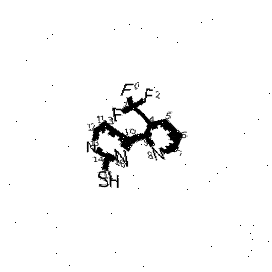 FC(F)(F)c1cccnc1-c1ccnc(S)n1